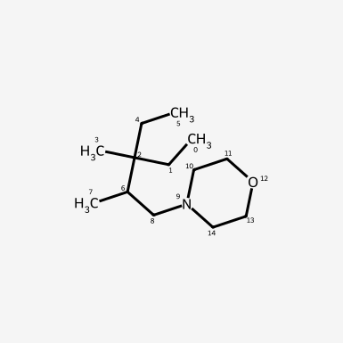 CCC(C)(CC)C(C)CN1CCOCC1